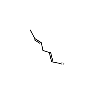 C[CH]C=CCC=CC